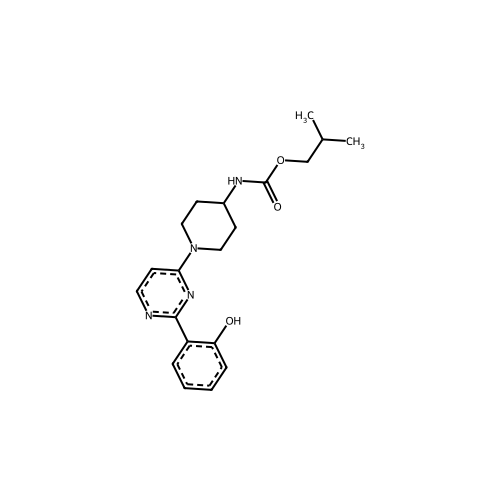 CC(C)COC(=O)NC1CCN(c2ccnc(-c3ccccc3O)n2)CC1